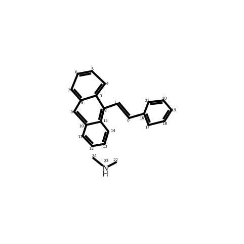 C(=Cc1c2ccccc2cc2ccccc12)c1ccccc1.CNC